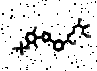 CCCN(CCCC(CC)C(=O)OC(C)(C)C)c1cncc(-c2cn(-c3c(F)ccc(NS(=O)(=O)CCC)c3F)nn2)c1